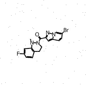 CN1c2cc(F)ccc2CCN1C(=O)c1cc2ccc(Br)cn2n1